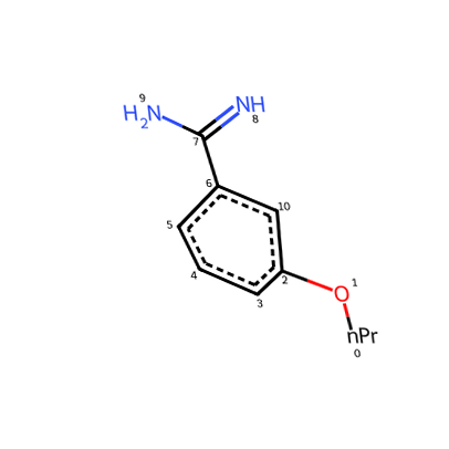 CCCOc1cccc(C(=N)N)c1